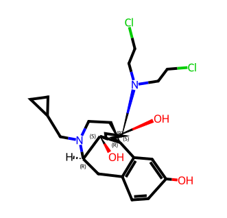 Oc1ccc2c(c1)[C@]13CCN(CC4CC4)[C@H](C2)[C@]1(O)CC[C@@H](N(CCCl)CCCl)[C@@H]3O